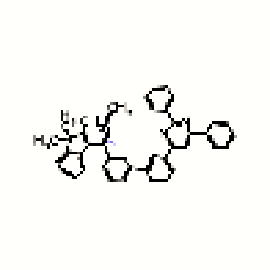 C=C/C=C(\C1=C(C)C(C)(C)c2ccccc21)c1cccc(-c2cccc(-c3cc(-c4ccccc4)nc(-c4ccccc4)n3)c2)c1